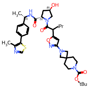 Cc1ncsc1-c1ccc([C@H](C)NC(=O)[C@@H]2C[C@@H](O)CN2C(=O)C(c2cc(N3CC4(CCN(C(=O)OC(C)(C)C)CC4)C3)no2)C(C)C)cc1